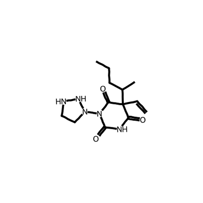 C=CC1(C(C)CCC)C(=O)NC(=O)N(N2CCNN2)C1=O